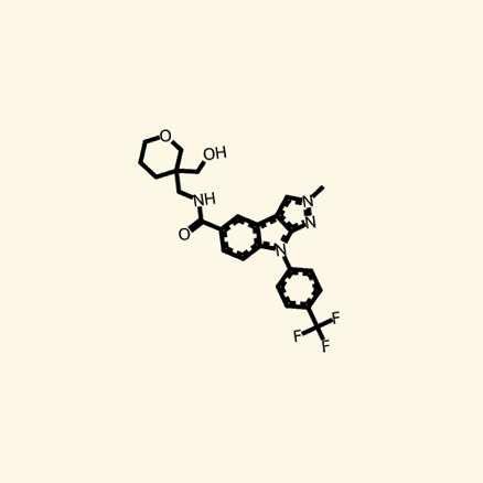 Cn1cc2c3cc(C(=O)NCC4(CO)CCCOC4)ccc3n(-c3ccc(C(F)(F)F)cc3)c2n1